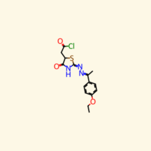 CCOc1ccc(C(C)=NN=C2NC(=O)C(CC(=O)Cl)S2)cc1